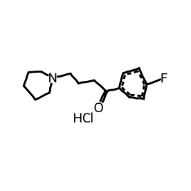 Cl.O=C(CCCN1CCCCC1)c1ccc(F)cc1